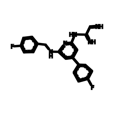 N=CC(=N)Nc1cc(-c2ccc(F)cc2)cc(NCc2ccc(F)cc2)n1